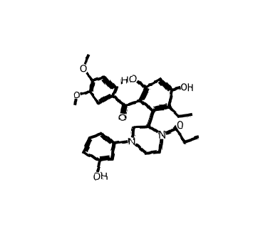 CCC(=O)N1CCN(c2cccc(O)c2)CC1c1c(CC)c(O)cc(O)c1C(=O)c1ccc(OC)c(OC)c1